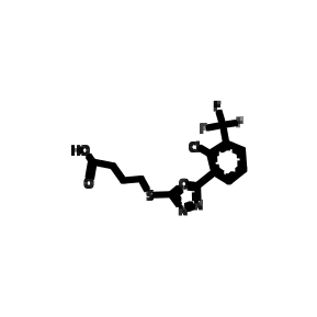 O=C(O)CCCSc1nnc(-c2cccc(C(F)(F)F)c2Cl)o1